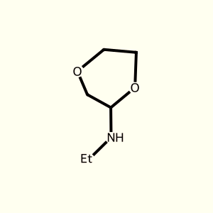 CCNC1COCCO1